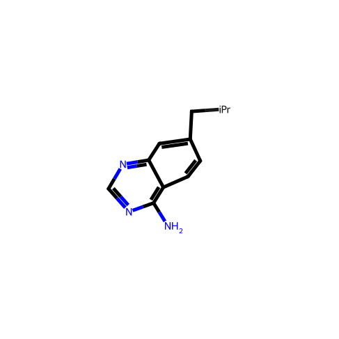 CC(C)Cc1ccc2c(N)ncnc2c1